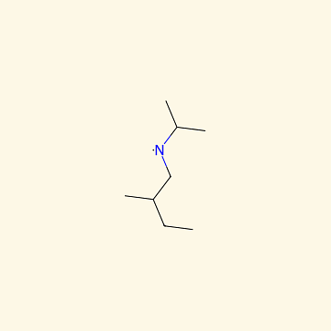 CCC(C)C[N]C(C)C